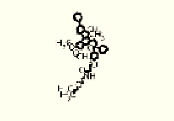 C=C(C)COCCNC(=O)CCOc1ccc(C2(c3ccccc3)C=Cc3c4c(c5cc(OC)c(OC)cc5c3O2)-c2ccc(-c3ccccc3)cc2C4(C)C)cc1